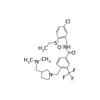 CC[S+]([O-])c1ccc(Cl)cc1CNC(=O)c1ccc(CN2CCC(CN(C)C)C2)c(C(F)(F)F)c1